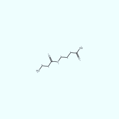 O=C(O)CCCOC(=O)CCO